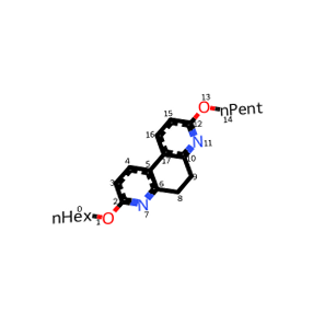 CCCCCCOc1ccc2c(n1)CCc1nc(OCCCCC)ccc1-2